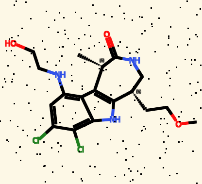 COCC[C@H]1CNC(=O)[C@@H](C)c2c1[nH]c1c(Cl)c(Cl)cc(NCCO)c21